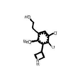 COc1c(CCO)cc(Cl)c(Cl)c1C1CNC1